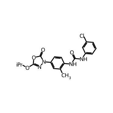 Cc1cc(-n2nc(OC(C)C)oc2=O)ccc1NC(=O)Nc1cccc(Cl)c1